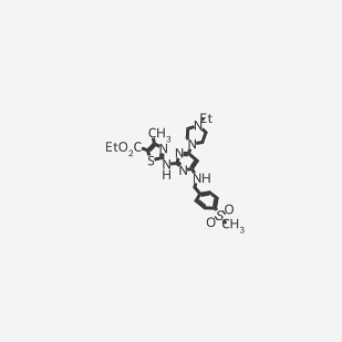 CCOC(=O)c1sc(Nc2nc(NCc3ccc(S(C)(=O)=O)cc3)cc(N3CCN(CC)CC3)n2)nc1C